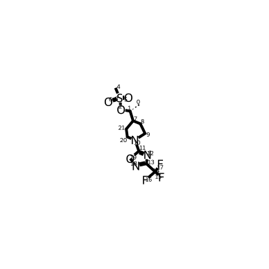 C[C@@H](OS(C)(=O)=O)C1CCN(c2nc(C(F)(F)F)no2)CC1